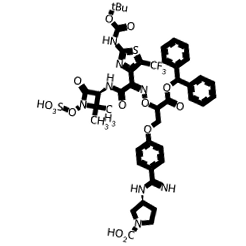 CC(C)(C)OC(=O)Nc1nc(/C(=N/OC(COc2ccc(C(=N)N[C@@H]3CCN(C(=O)O)C3)cc2)C(=O)OC(c2ccccc2)c2ccccc2)C(=O)N[C@@H]2C(=O)N(OS(=O)(=O)O)C2(C)C)c(C(F)(F)F)s1